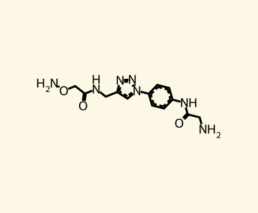 NCC(=O)Nc1ccc(-n2cc(CNC(=O)CON)nn2)cc1